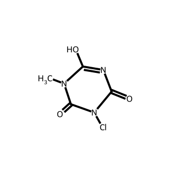 Cn1c(O)nc(=O)n(Cl)c1=O